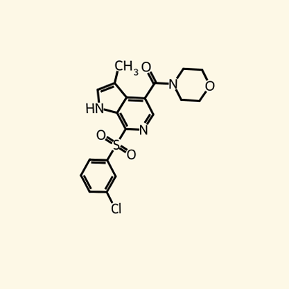 Cc1c[nH]c2c(S(=O)(=O)c3cccc(Cl)c3)ncc(C(=O)N3CCOCC3)c12